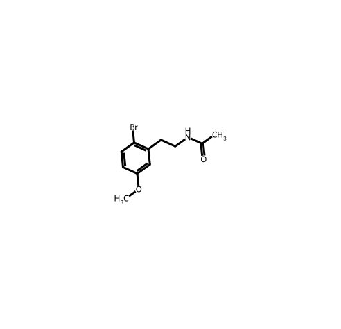 COc1ccc(Br)c(CCNC(C)=O)c1